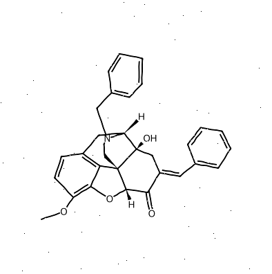 COc1ccc2c3c1O[C@H]1C(=O)/C(=C/c4ccccc4)C[C@@]4(O)[C@@H](C2)N(Cc2ccccc2)CC[C@]314